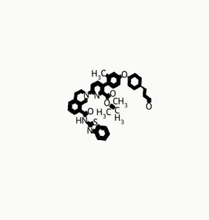 Cc1cc(O[C@H]2CC[C@H](CCC=O)CC2)ccc1-c1ccc(N2CCc3cccc(C(=O)Nc4nc5ccccc5s4)c3C2)nc1C(=O)OC(C)(C)C